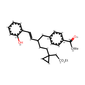 CCOC(=O)CC1(CCC(/C=C/c2ccccc2O)Cc2ccc(C(=O)OC)cc2)CC1